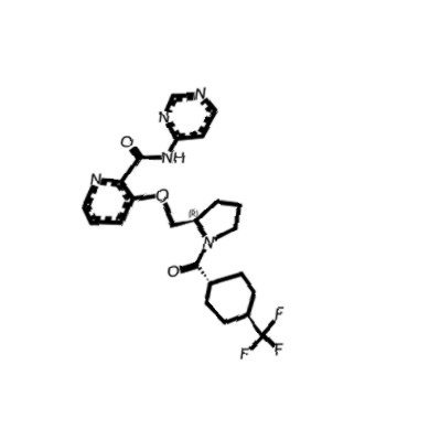 O=C(Nc1ccncn1)c1ncccc1OC[C@H]1CCCN1C(=O)[C@H]1CC[C@H](C(F)(F)F)CC1